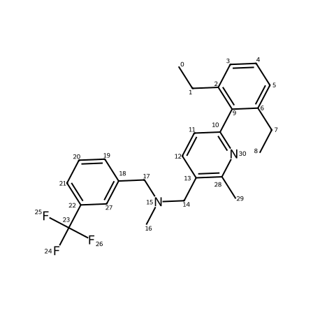 CCc1cccc(CC)c1-c1ccc(CN(C)Cc2cccc(C(F)(F)F)c2)c(C)n1